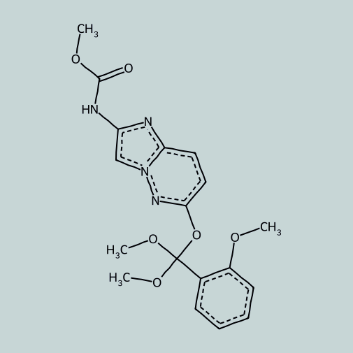 COC(=O)Nc1cn2nc(OC(OC)(OC)c3ccccc3OC)ccc2n1